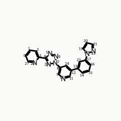 c1ccc(-c2nnn(-c3cncc(-c4cccc(-n5cccn5)c4)c3)n2)nc1